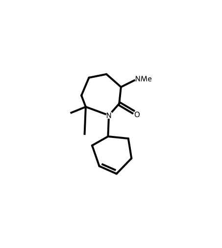 CNC1CCCC(C)(C)N(C2CC=CCC2)C1=O